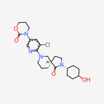 O=C1OCCCN1c1cnc(N2CCC[C@@]3(CCN([C@H]4CC[C@H](O)CC4)C3=O)C2)c(Cl)c1